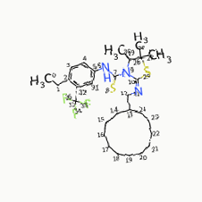 CCc1ccc(NC(=S)N2/C(=N\CC3CCCCCCCCCCC3)SC(C)(C)C2C)cc1C(F)(F)F